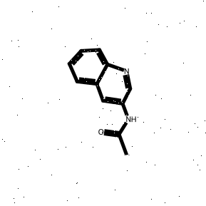 [CH2]C(=O)Nc1cnc2ccccc2c1